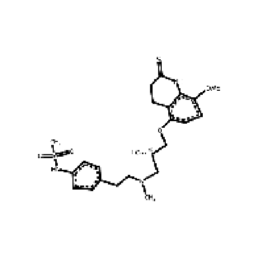 COc1ccc(OC[C@@H](O)CN(C)CCc2ccc(NS(C)(=O)=O)cc2)c2c1NC(=O)CC2